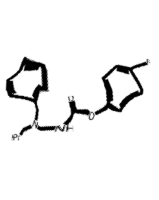 CC(C)N(NC(=O)Oc1ccc(F)cc1)c1ccccc1